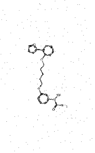 NC(=O)N(S)c1cccc(OCCCCCOc2ccccc2-c2ccco2)c1